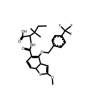 CCC(C)(C)C(NC(=O)C1=C(OCc2ccc(C(F)(F)F)cc2)C2C=C(OC)SC2C=C1)C(=O)O